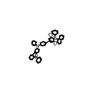 c1ccc(N(c2ccc(-c3cc4c5c(c3)Oc3ccc6ccccc6c3B5c3ccccc3O4)cc2)c2ccc3c(c2)c2ccccc2n3-c2ccccc2)cc1